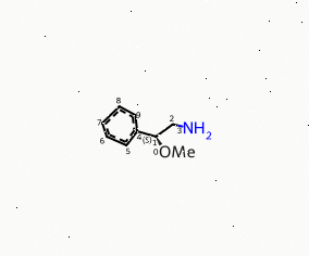 CO[C@H](CN)c1ccccc1